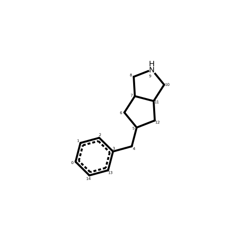 c1ccc(CC2CC3CNCC3C2)cc1